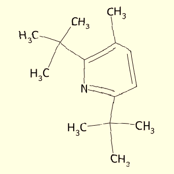 Cc1ccc(C(C)(C)C)nc1C(C)(C)C